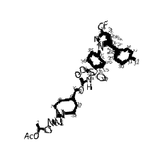 CC(=O)OC(C)ON=NN1CCC(COC(=O)NS(=O)(=O)c2ccc(-n3nc(C(F)(F)F)cc3-c3ccc(C)cc3)cc2)CC1